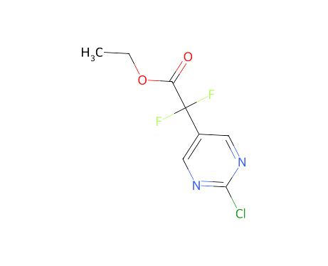 CCOC(=O)C(F)(F)c1cnc(Cl)nc1